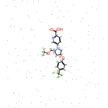 O=C(O)c1ccc(N2C[C@@H](Oc3ccc(C(F)(F)F)cc3)C[C@H]2COC(F)F)cn1